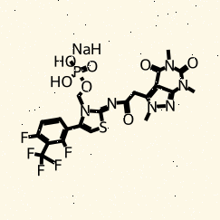 Cn1nc2c(c1CC(=O)N=c1scc(-c3ccc(F)c(C(F)(F)F)c3F)n1COP(=O)(O)O)c(=O)n(C)c(=O)n2C.[NaH]